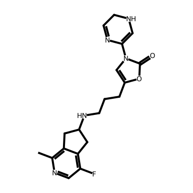 Cc1ncc(F)c2c1CC(NCCCc1cn(C3=CNCC=N3)c(=O)o1)C2